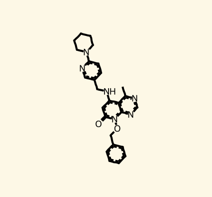 Cc1ncnc2c1c(NCc1ccc(N3CCCCC3)nc1)cc(=O)n2OCc1ccccc1